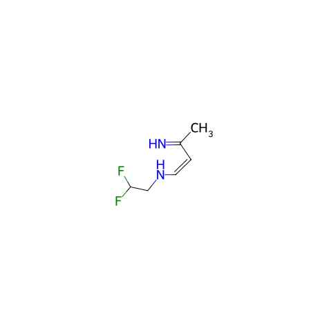 CC(=N)/C=C\NCC(F)F